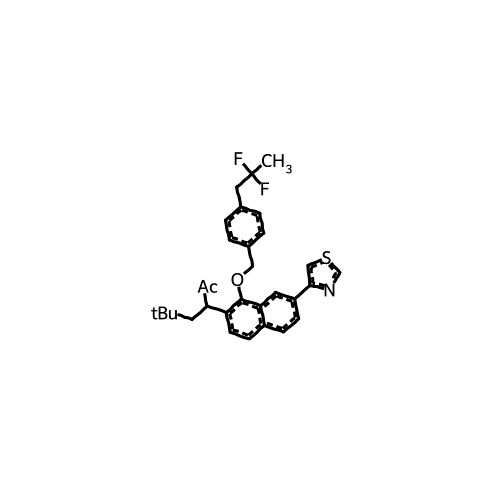 CC(=O)C(CC(C)(C)C)c1ccc2ccc(-c3cscn3)cc2c1OCc1ccc(CC(C)(F)F)cc1